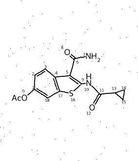 CC(=O)Oc1ccc2c(C(N)=O)c(NC(=O)C3CC3)sc2c1